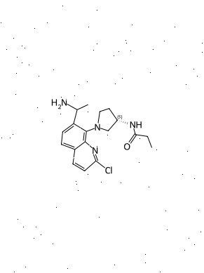 CCC(=O)N[C@H]1CCN(c2c(C(C)N)ccc3ccc(Cl)nc23)C1